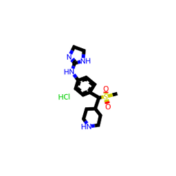 CS(=O)(=O)C(c1ccc(NC2=NCCN2)cc1)C1CCNCC1.Cl